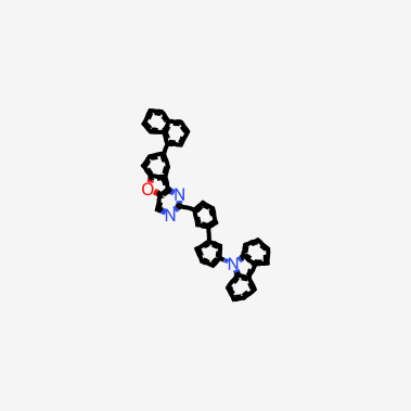 c1cc(-c2cccc(-n3c4ccccc4c4ccccc43)c2)cc(-c2ncc3oc4ccc(-c5cccc6ccccc56)cc4c3n2)c1